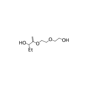 C=C(OCCOCCO)C(O)CC